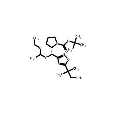 CCOC(C)OC(c1noc(C(C)(C)CC)n1)[C@@H]1CCCN1C(=O)OC(C)(C)C